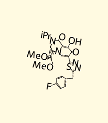 COC[C@H](OC)[C@H]1CN(C(C)C)C(=O)c2c(O)c(=O)c(-c3nnc(Cc4ccc(F)cc4)s3)cn21